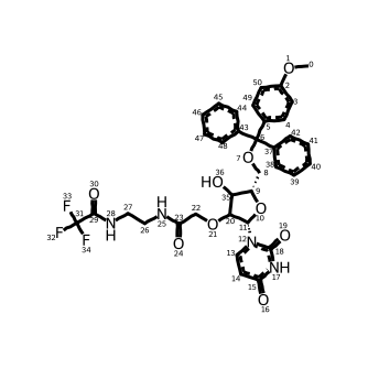 COc1ccc(C(OC[C@@H]2O[C@H](n3ccc(=O)[nH]c3=O)C(OCC(=O)NCCNC(=O)C(F)(F)F)C2O)(c2ccccc2)c2ccccc2)cc1